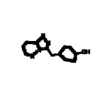 Oc1ccc(Cc2nnc3cccnn23)cc1